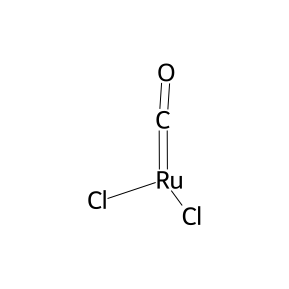 O=[C]=[Ru]([Cl])[Cl]